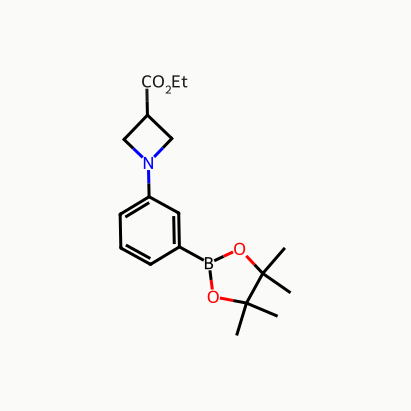 CCOC(=O)C1CN(c2cccc(B3OC(C)(C)C(C)(C)O3)c2)C1